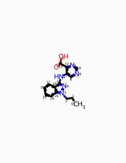 CCCn1nc(Nc2cncnc2C(=O)O)c2ccccc21